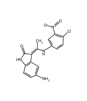 CC(Nc1ccc(Cl)c([N+](=O)[O-])c1)=C1C(=O)Nc2ccc(N)cc21